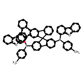 Cc1ccc(N(c2ccc3c(c2)C2(c4ccccc4-c4cc5c6ccccc6c6ccccc6c5cc42)c2cc(N(c4ccc(C(F)(F)F)cc4)c4cccc5c4oc4ccccc45)ccc2-3)c2cccc3c2oc2ccccc23)cc1